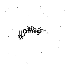 C=CS(=O)(=O)NCC1CCN(S(=O)(=O)c2cccc(Cc3nnn[nH]3)c2)C1